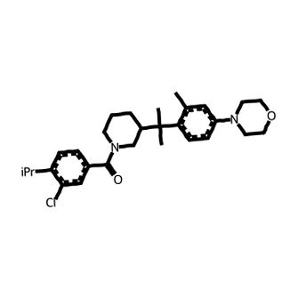 Cc1cc(N2CCOCC2)ccc1C(C)(C)C1CCCN(C(=O)c2ccc(C(C)C)c(Cl)c2)C1